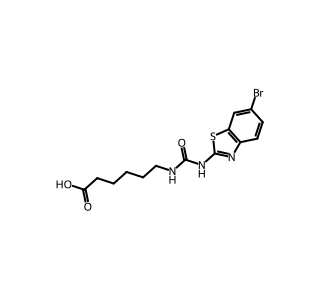 O=C(O)CCCCCNC(=O)Nc1nc2ccc(Br)cc2s1